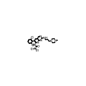 CCN(CC)C(=O)Nc1nc2nc(NCCCN3CCN(C)CC3)ncc2cc1-c1c(Cl)cccc1Cl